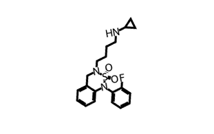 O=S1(=O)N(CCCCNC2CC2)Cc2ccccc2N1c1ccccc1F